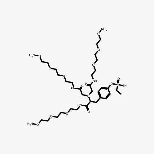 CCP(=O)(S)Oc1ccc(CC(C(=O)NCCOCCOCCON)N(CC(=O)NCCOCCOCCON)CC(=O)NCCOCCOCCON)cc1